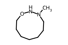 CN1CCCCCCCON1